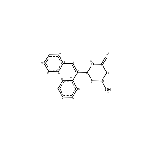 O=C1CC(O)CC(C(=Cc2ccccc2)c2ccccc2)O1